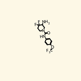 NC1CN(C(=O)Nc2ccc(OC(F)(F)F)cc2)CCC1(F)F